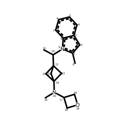 Cc1cc2ccccc2n1C(C)C12CC(N(C)C3COC3)(C1)C2